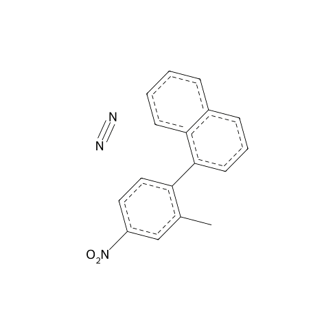 Cc1cc([N+](=O)[O-])ccc1-c1cccc2ccccc12.N#N